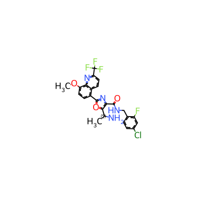 COc1ccc(-c2nc(C(=O)NCc3ccc(Cl)cc3F)c([C@H](C)N)o2)c2ccc(C(F)(F)F)nc12